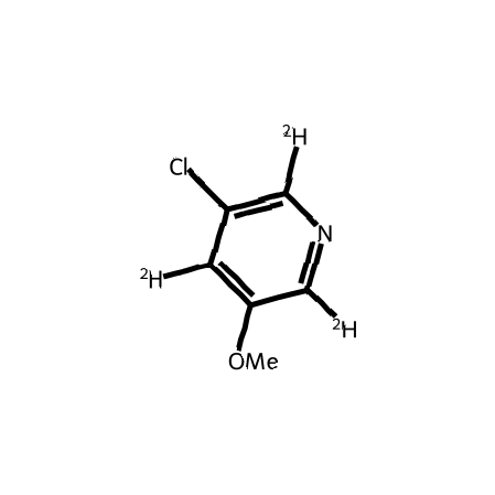 [2H]c1nc([2H])c(OC)c([2H])c1Cl